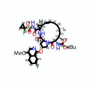 COc1cnc(O[C@@H]2C[C@H]3C(=O)NC4(C(=O)NS(=O)(=O)C5(F)CC5)C[C@H]4/C=C\CC[C@H](C)C[C@@H](C)[C@H](NC(=O)OC(C)(C)C)C(=O)N3C2)c2cc(F)ccc12